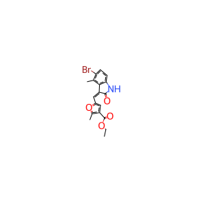 CCOC(=O)c1cc(C=C2C(=O)Nc3ccc(Br)c(C)c32)oc1C